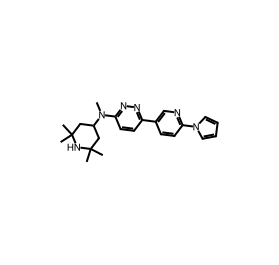 CN(c1ccc(-c2ccc(-n3cccc3)nc2)nn1)C1CC(C)(C)NC(C)(C)C1